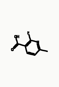 Cc1ccc(C(=O)O)c(F)n1